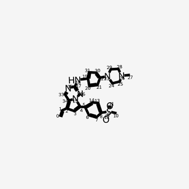 C=Cc1cc(-c2ccc(S(C)(=O)=O)cc2)n2nc(Nc3ccc(N4CCN(C)CC4)cc3)ncc12